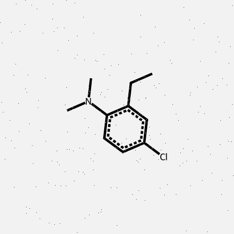 CCc1cc(Cl)ccc1N(C)C